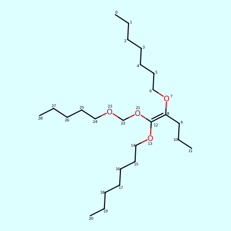 CCCCCCCOC(CCC)=C(OCCCCCCC)OCOCCCCC